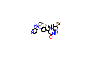 Cc1nc2cnccc2n1-c1ccc(C2CC(=O)Nc3ncc(Br)cc3N2C)cc1